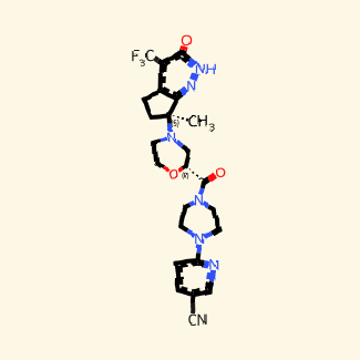 C[C@]1(N2CCO[C@@H](C(=O)N3CCN(c4ccc(C#N)cn4)CC3)C2)CCc2c1n[nH]c(=O)c2C(F)(F)F